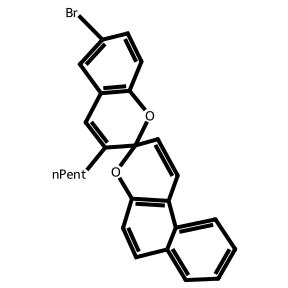 CCCCCC1=Cc2cc(Br)ccc2OC12C=Cc1c(ccc3ccccc13)O2